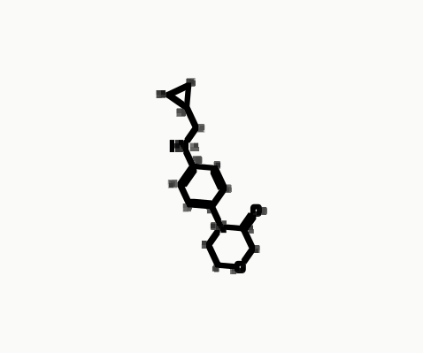 O=C1COCCN1c1ccc(NCC2CC2)cc1